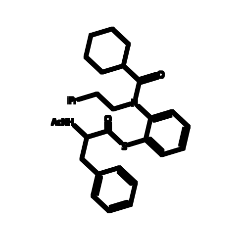 CC(=O)NC(Cc1ccccc1)C(=O)Sc1ccccc1N(CCC(C)C)C(=O)C1CCCCC1